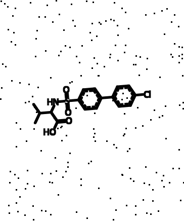 CC(C)C(NS(=O)(=O)c1ccc(-c2ccc(Cl)cc2)cc1)C(=O)O